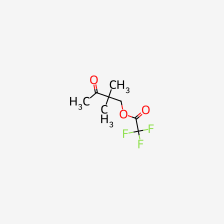 CC(=O)C(C)(C)COC(=O)C(F)(F)F